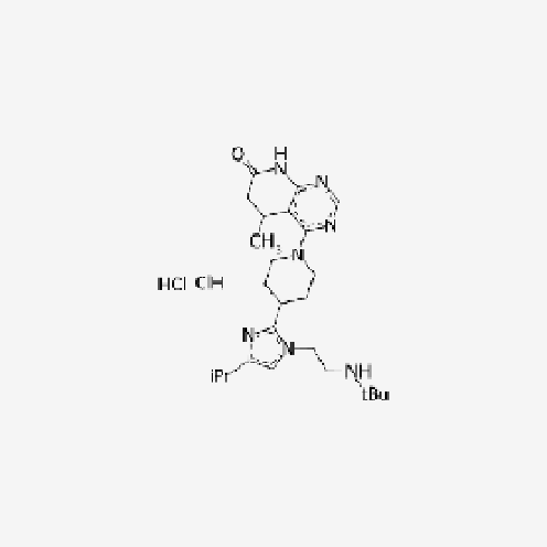 CC(C)c1cn(CCNC(C)(C)C)c(C2CCN(c3ncnc4c3C(C)CC(=O)N4)CC2)n1.Cl.Cl